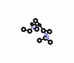 c1ccc(-c2cccc(N3c4ccccc4C4(c5ccccc5-c5ccc(-c6ccc7c(c6)c6ccccc6n7-c6cc(-c7ccccc7)cc(-c7ccccc7)n6)cc54)c4ccccc43)c2)cc1